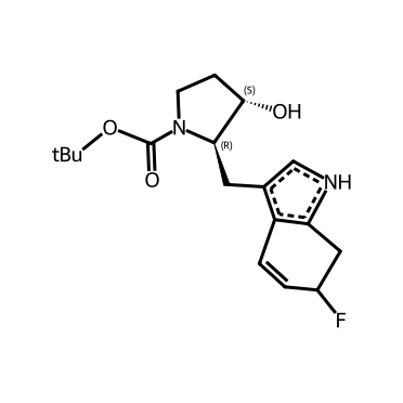 CC(C)(C)OC(=O)N1CC[C@H](O)[C@H]1Cc1c[nH]c2c1C=CC(F)C2